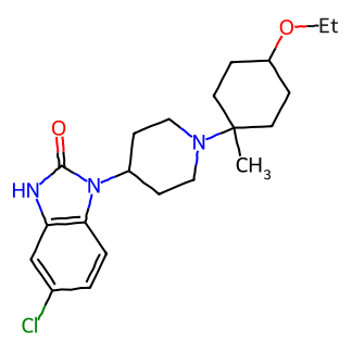 CCOC1CCC(C)(N2CCC(n3c(=O)[nH]c4cc(Cl)ccc43)CC2)CC1